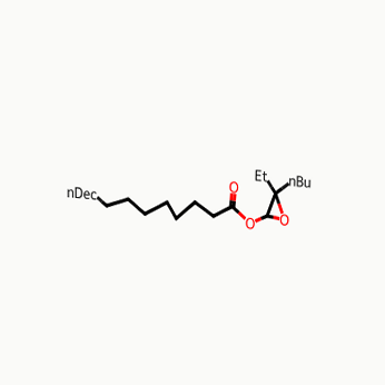 CCCCCCCCCCCCCCCCCC(=O)OC1OC1(CC)CCCC